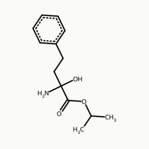 CC(C)OC(=O)C(N)(O)CCc1ccccc1